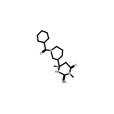 CN1C(=N)N[C@](C)(C2CCCN(C(=O)C3CCCCC3)C2)CC1=O